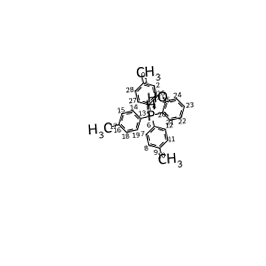 Cc1ccc([PH](c2ccc(C)cc2)(c2ccc(C)cc2)c2ccccc2O)cc1